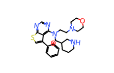 O=C(C1CCCNC1)N(CCN1CCOCC1)c1ncnc2scc(-c3ccccc3)c12